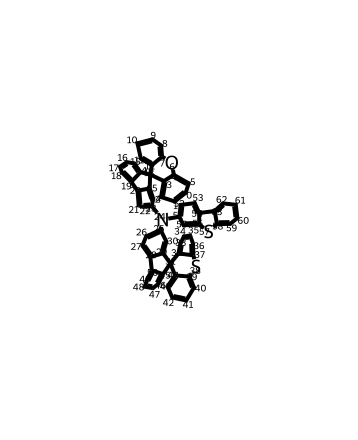 c1ccc2c(c1)Oc1ccccc1C21c2ccccc2-c2ccc(N(c3ccc4c(c3)C3(c5ccccc5Sc5ccccc53)c3ccccc3-4)c3ccc4c(c3)sc3ccccc34)cc21